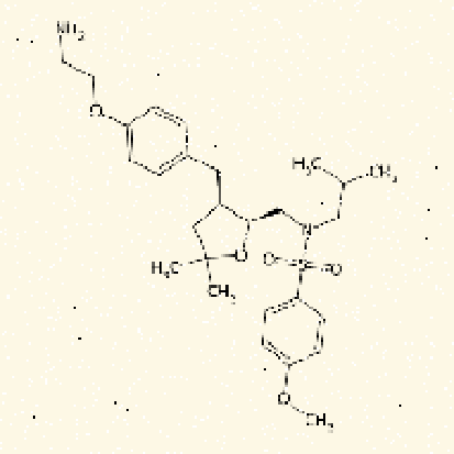 COc1ccc(S(=O)(=O)N(CC(C)C)C[C@H]2OC(C)(C)C[C@H]2Cc2ccc(OCCN)cc2)cc1